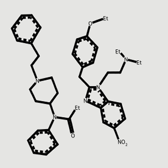 CCC(=O)N(c1ccccc1)C1CCN(CCc2ccccc2)CC1.CCOc1ccc(Cc2nc3cc([N+](=O)[O-])ccc3n2CCN(CC)CC)cc1